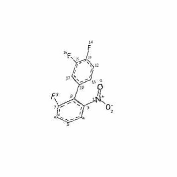 O=[N+]([O-])c1cccc(F)c1-c1ccc(F)c(F)c1